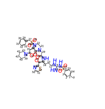 Cc1ccc(S(=O)(=O)NC(=N)NCCC[C@H](NC(=O)CN2CCN(S(=O)(=O)Cc3ccccc3)[C@H](CC(=O)N3CCCCC3)C2=O)C(=O)c2nccs2)cc1